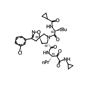 CCC[C@H](NC(=O)[C@@H]1C[C@]2(CC(c3cccc(Cl)c3)=NO2)CN1C(=O)[C@@H](NC(=O)C1CC1)C(C)(C)C)C(=O)C(=O)NC1CC1